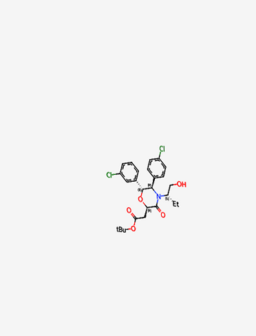 CC[C@@H](CO)N1C(=O)[C@@H](CC(=O)OC(C)(C)C)O[C@H](c2cccc(Cl)c2)[C@H]1c1ccc(Cl)cc1